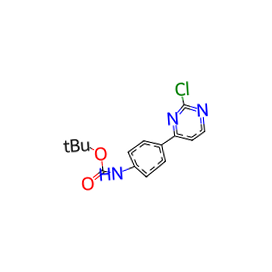 CC(C)(C)OC(=O)Nc1ccc(-c2ccnc(Cl)n2)cc1